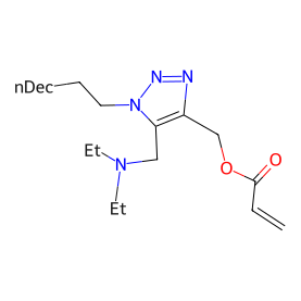 C=CC(=O)OCc1nnn(CCCCCCCCCCCC)c1CN(CC)CC